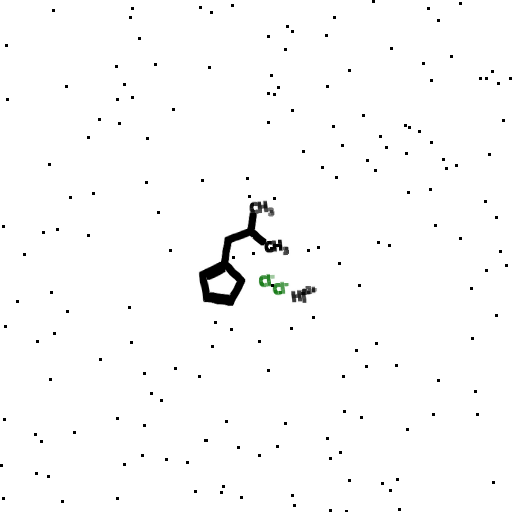 CC(C)CC1=CC=CC1.[Cl-].[Cl-].[Hf+2]